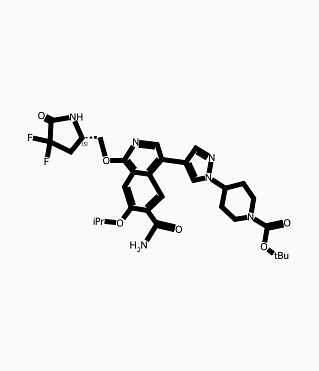 CC(C)Oc1cc2c(OC[C@@H]3CC(F)(F)C(=O)N3)ncc(-c3cnn(C4CCN(C(=O)OC(C)(C)C)CC4)c3)c2cc1C(N)=O